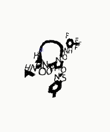 Cc1ccc2nc(O[C@@H]3C[C@H]4C(=O)N[C@]5(C(=O)NC6(C)CC6)C[C@H]5/C=C\CCCCC[C@H](Nc5cc(F)cc(C(F)(F)F)c5)C(=O)N4C3)sc2c1